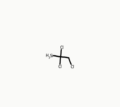 [SiH3]C(Cl)(Cl)CCl